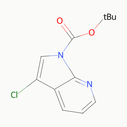 CC(C)(C)OC(=O)n1cc(Cl)c2cccnc21